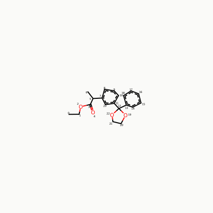 CCOC(=O)C(C)c1cccc(C2(c3ccccc3)OCCO2)c1